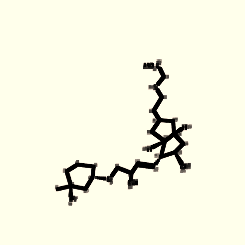 CC(C)[C@@]1(C)CCC[C@H](OCC(O)C=C[C@@H]2[C@@H]3CC(CCSCC(=O)O)C[C@@H]3C[C@H]2O)C1